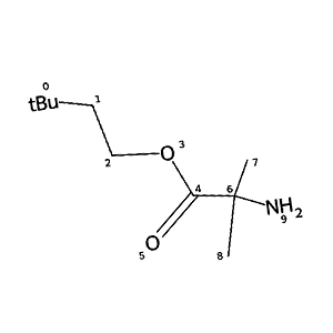 CC(C)(C)CCOC(=O)C(C)(C)N